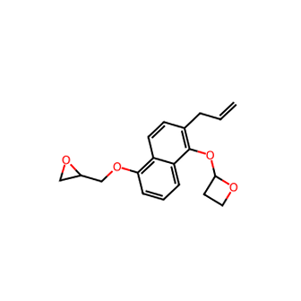 C=CCc1ccc2c(OCC3CO3)cccc2c1OC1CCO1